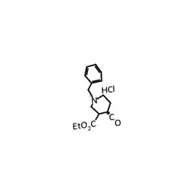 CCOC(=O)C1CN(Cc2ccccc2)CCC1=C=O.Cl